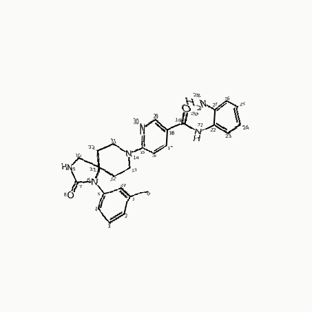 Cc1cccc(N2C(=O)NCC23CCN(c2ccc(C(=O)Nc4ccccc4N)cn2)CC3)c1